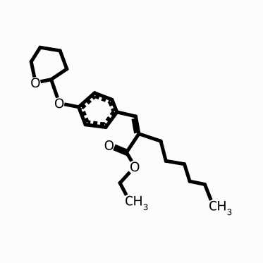 CCCCCCC(=Cc1ccc(OC2CCCCO2)cc1)C(=O)OCC